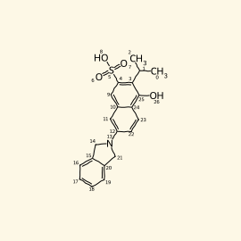 CC(C)c1c(S(=O)(=O)O)cc2cc(N3Cc4ccccc4C3)ccc2c1O